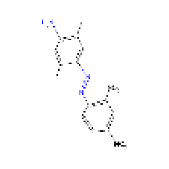 Cc1cc(N=Nc2ccc([N+](=O)[O-])cc2[N+](=O)[O-])c(C)cc1N